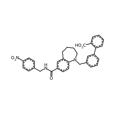 O=C(NCc1ccc([N+](=O)[O-])cc1)c1ccc2c(c1)CCCCN2Cc1cccc(-c2ccccc2C(=O)O)c1